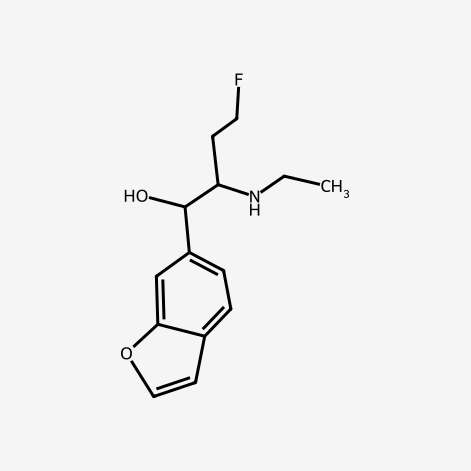 CCNC(CCF)C(O)c1ccc2ccoc2c1